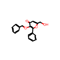 O=c1cc(CO)oc(-c2ccccc2)c1OCc1ccccc1